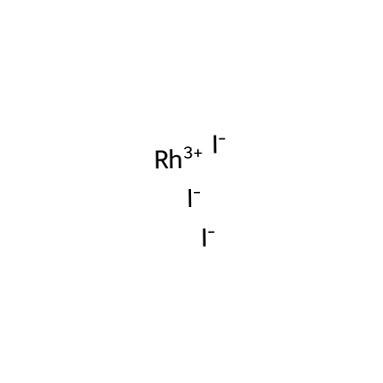 [I-].[I-].[I-].[Rh+3]